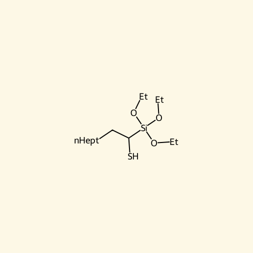 CCCCCCCCC(S)[Si](OCC)(OCC)OCC